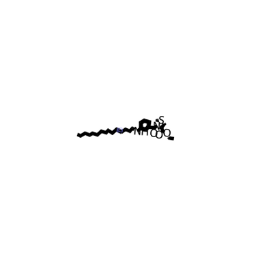 CCCCCCCCCC/C=C/CCCNc1cccc(C(=O)N2CSCC2C(=O)OCC)c1